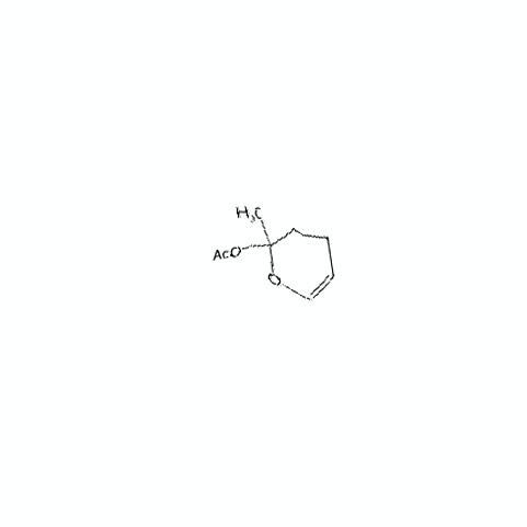 CC(=O)OC1(C)CCC=CO1